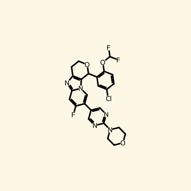 Fc1cc2nc3c(n2cc1-c1cnc(N2CCOCC2)nc1)C(c1cc(Cl)ccc1OC(F)F)OCC3